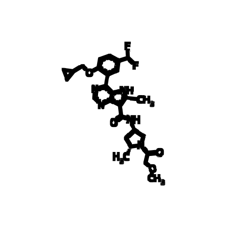 COCC(=O)N1C[C@H](NC(=O)c2c(C)[nH]c3c(-c4cc(C(F)F)ccc4OCC4CC4)ncnc23)C[C@H]1C